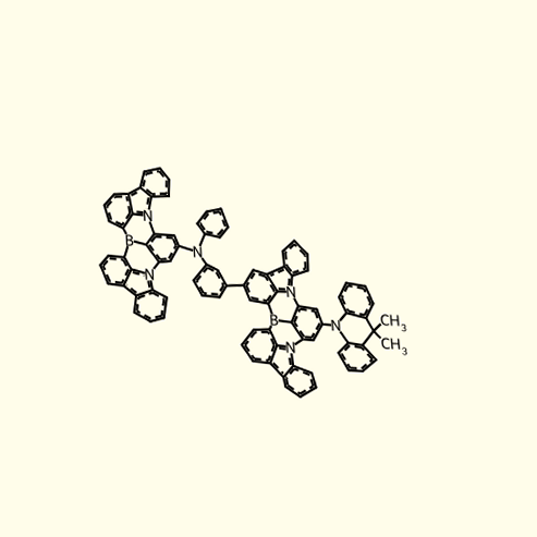 CC1(C)c2ccccc2N(c2cc3c4c(c2)-n2c5ccccc5c5cc(-c6cccc(N(c7ccccc7)c7cc8c9c(c7)-n7c%10ccccc%10c%10cccc(c%107)B9c7cccc9c%10ccccc%10n-8c79)c6)cc(c52)B4c2cccc4c5ccccc5n-3c24)c2ccccc21